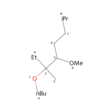 CCCCOC(C)(CC)C(CCC(C)C)OC